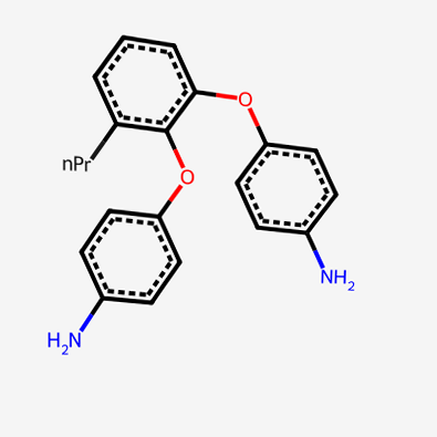 CCCc1cccc(Oc2ccc(N)cc2)c1Oc1ccc(N)cc1